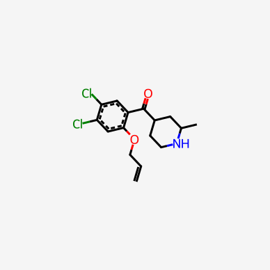 C=CCOc1cc(Cl)c(Cl)cc1C(=O)C1CCNC(C)C1